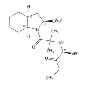 CCC[C@H](NC(C)(C)C(=O)N1[C@H](C(=O)O)C[C@@H]2CCCC[C@@H]21)C(=O)CC=O